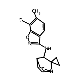 Cc1ccc2c(NC3C4CCN(CC4)C34CC4)noc2c1F